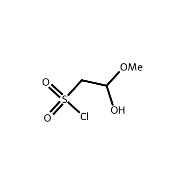 COC(O)CS(=O)(=O)Cl